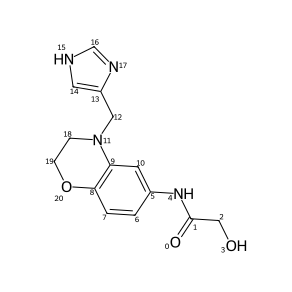 O=C(CO)Nc1ccc2c(c1)N(Cc1c[nH]cn1)CCO2